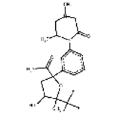 CC1CN(C)CC(=O)N1c1cc(C2(C(N)=O)CC(C)C(C)(C(F)(F)F)O2)ccn1